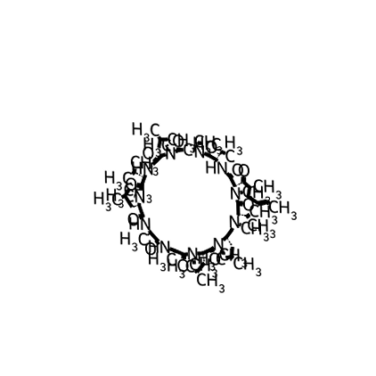 C/C=C/C[C@@H](C)C(=O)[C@H]1C(=O)N[C@@H](C(C)C)C(=O)N(C)CC(=O)N(C)[C@@H](CC(C)C)C(=O)N[C@@H](C(C)C)C(=O)N(C)[C@@H](CC(C)C)C(=O)N[C@@H](C)C(=O)N[C@H](C)C(=O)N(C)[C@@H](CC(C)C)C(=O)N(C)[C@@H](CC(C)C)CN(C)[C@@H](C(C)C)C(=O)N1C